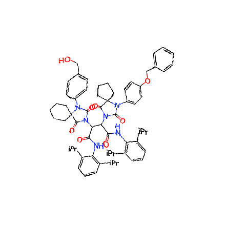 CC(C)c1cccc(C(C)C)c1NC(=O)C(C(C(=O)Nc1c(C(C)C)cccc1C(C)C)N1C(=O)N(c2ccc(OCc3ccccc3)cc2)C2(CCCC2)C1=O)N1C(=O)N(c2ccc(CO)cc2)C2(CCCCC2)C1=O